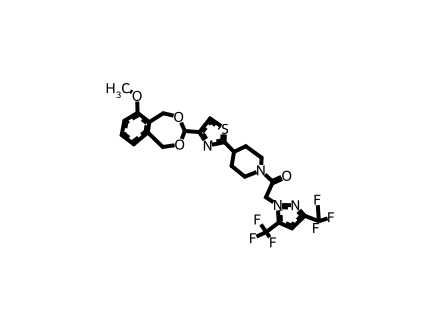 COc1cccc2c1COC(c1csc(C3CCN(C(=O)Cn4nc(C(F)(F)F)cc4C(F)(F)F)CC3)n1)OC2